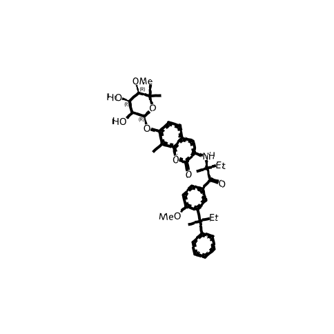 CCC(C)(Nc1cc2ccc(O[C@@H]3OC(C)(C)[C@H](OC)[C@H](O)C3O)c(C)c2oc1=O)C(=O)c1ccc(OC)c(C(C)(CC)c2ccccc2)c1